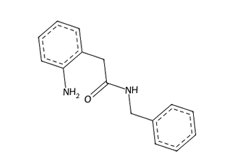 Nc1ccccc1CC(=O)NCc1ccccc1